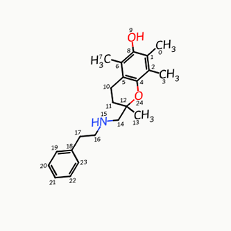 Cc1c(C)c2c(c(C)c1O)CCC(C)(CNCCc1ccccc1)O2